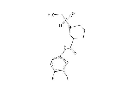 CCS(=O)(=O)N1CCCC(C(=O)Nc2ccc(F)c(F)c2)C1